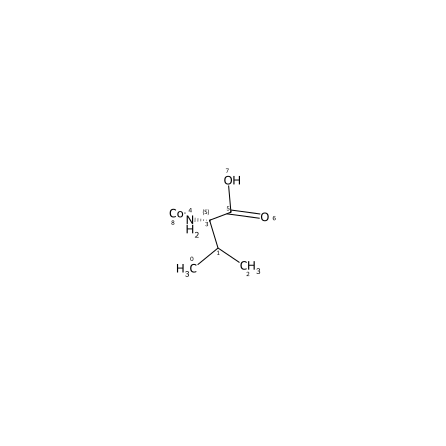 CC(C)[C@H](N)C(=O)O.[Co]